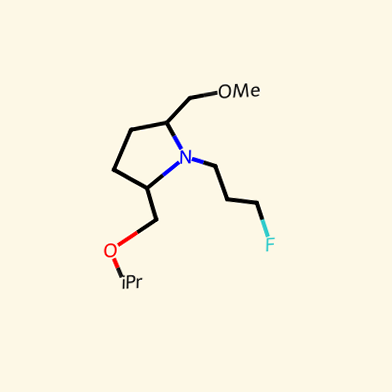 COCC1CCC(COC(C)C)N1CCCF